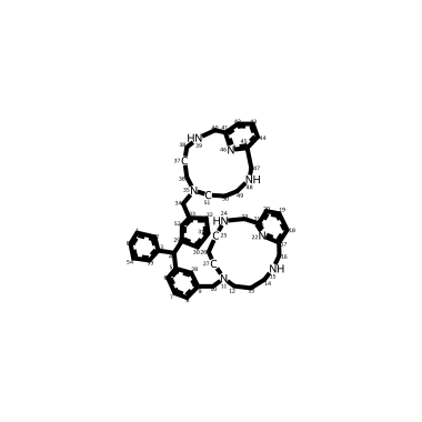 c1ccc(C(c2cccc(CN3CCCNCc4cccc(n4)CNCCC3)c2)c2cccc(CN3CCCNCc4cccc(n4)CNCCC3)c2)cc1